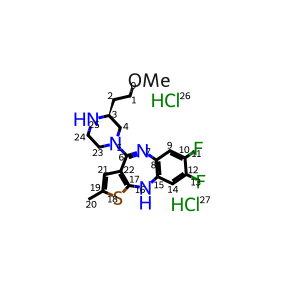 COCC[C@H]1CN(C2=Nc3cc(F)c(F)cc3Nc3sc(C)cc32)CCN1.Cl.Cl